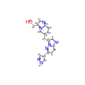 Cn1cc(-c2ccc3ncc(Cc4ccc5ncc(CO)n5c4)n3n2)cn1